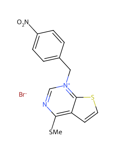 CSc1nc[n+](Cc2ccc([N+](=O)[O-])cc2)c2sccc12.[Br-]